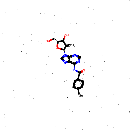 C=C1C(O)[C@@H](CO)O[C@H]1n1cnc2c(NC(=O)c3ccc(C(C)(C)C)cc3)ncnc21